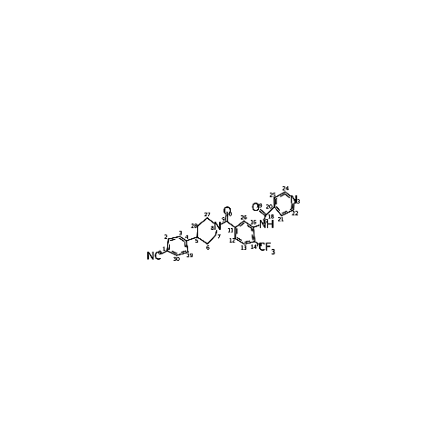 N#Cc1ccc(C2CCN(C(=O)c3ccc(C(F)(F)F)c(NC(=O)c4ccncc4)c3)CC2)cc1